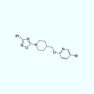 CC(C)c1noc(N2CCC(COc3ccc(Br)cn3)CC2)n1